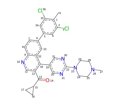 Cc1c(Cl)cc(-c2ccc3ncc(C(=O)C4CC4)c(-c4cnc(N5CCN(C)CC5)nc4)c3c2)cc1Cl